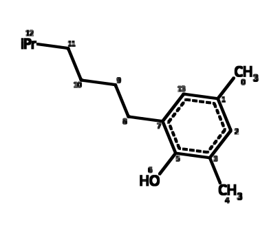 Cc1cc(C)c(O)c(CCCCC(C)C)c1